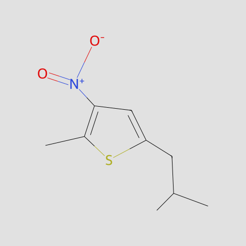 Cc1sc(CC(C)C)cc1[N+](=O)[O-]